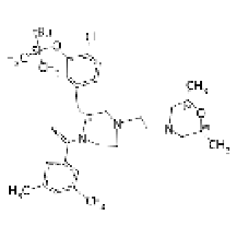 Cc1cc(C(=S)N2CCN(CCN3C[C@@H](C)O[C@@H](C)C3)C[C@H]2Cc2ccc(Cl)c(O[Si](C)(C)C(C)(C)C)c2)cc(C(F)(F)F)c1